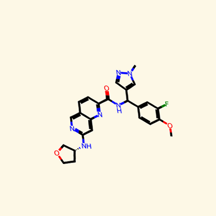 COc1ccc(C(NC(=O)c2ccc3cnc(N[C@@H]4CCOC4)cc3n2)c2cnn(C)c2)cc1F